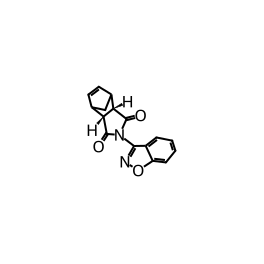 O=C1[C@@H]2C3C=CC(C3)[C@@H]2C(=O)N1c1noc2ccccc12